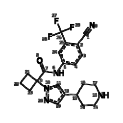 N#Cc1ccc(NC(=O)C2(n3cc(C4CCNCC4)cn3)CCC2)cc1C(F)(F)F